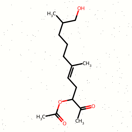 CC(=O)OC(C/C=C(\C)CCCC(C)CO)C(C)=O